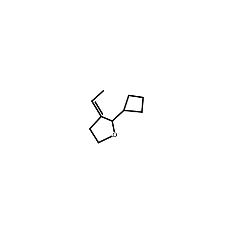 C/C=C1/CCOC1C1CCC1